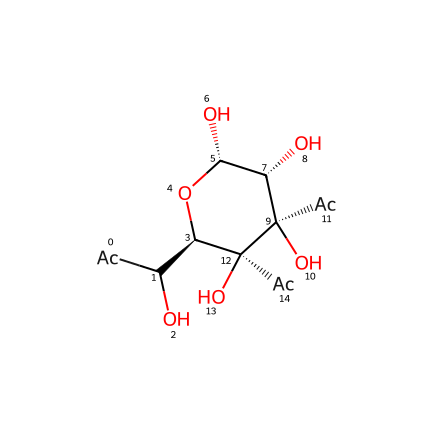 CC(=O)C(O)[C@H]1O[C@H](O)[C@H](O)[C@](O)(C(C)=O)[C@]1(O)C(C)=O